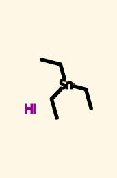 C[CH2][Sn]([CH2]C)[CH2]C.I